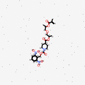 C=C(C)C(=O)OC(C)COCC(C)OC(=O)C1CCN(C(=O)OCc2c([N+](=O)[O-])cccc2[N+](=O)[O-])CC1